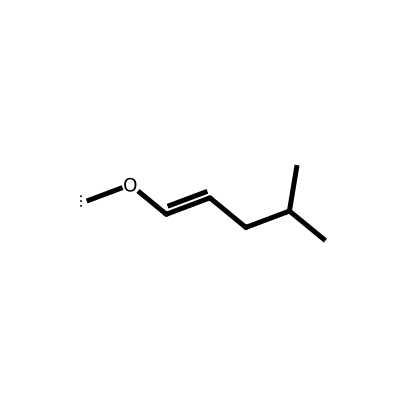 [C]OC=CCC(C)C